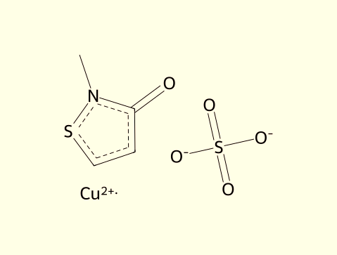 Cn1sccc1=O.O=S(=O)([O-])[O-].[Cu+2]